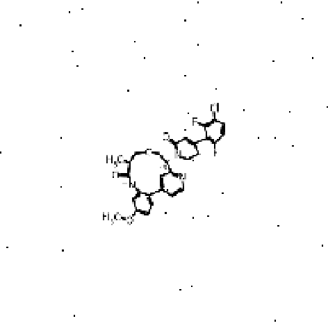 COc1ccc2c(c1)NC(=O)C(C)CCC[C@H](N1CCC(c3c(F)ccc(Cl)c3F)=CC1=O)c1cc-2ccn1